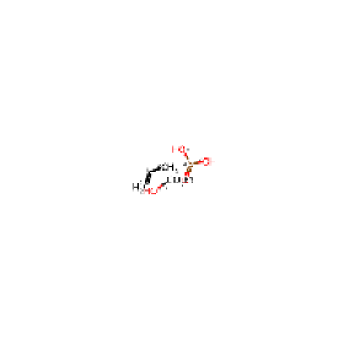 C=CC.CCOC(=O)O.O=S(O)O